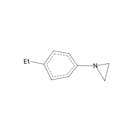 CCc1ccc(N2CC2)cc1